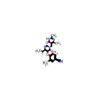 Cc1nc(C)c(Cn2cnc([C@H](C)F)c(Oc3c(C)cc(C#N)cc3C)c2=O)c(=O)[nH]1